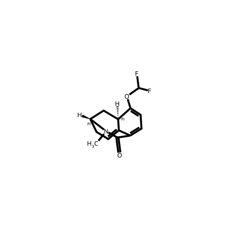 CN1C(=O)C2=CC=C(OC(F)F)[C@@H]3C[C@H]1CC=C23